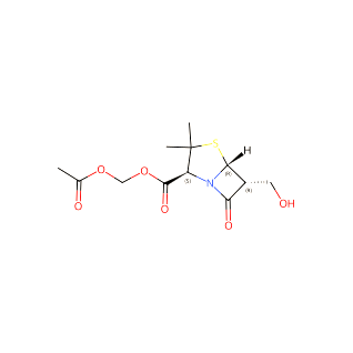 CC(=O)OCOC(=O)[C@@H]1N2C(=O)[C@@H](CO)[C@H]2SC1(C)C